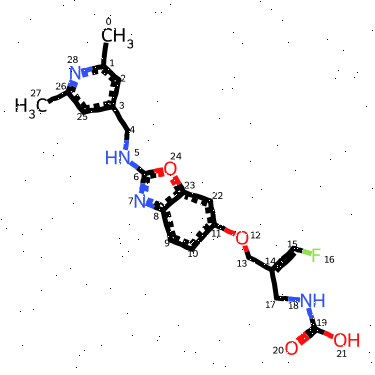 Cc1cc(CNc2nc3ccc(OCC(=CF)CNC(=O)O)cc3o2)cc(C)n1